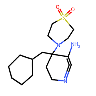 NC1=C=NCCC1(CC1CCCCC1)N1CCS(=O)(=O)CC1